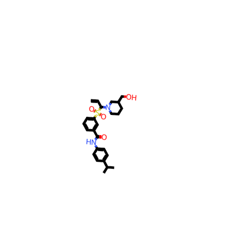 C=CC(N1CCCC(CO)C1)S(=O)(=O)c1cccc(C(=O)Nc2ccc(C(C)C)cc2)c1